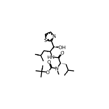 CC(C)CC(NC(=O)[C@H](CC(C)C)N(C)C(=O)OC(C)(C)C)[C@H](O)c1nccs1